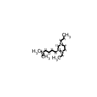 CCCN1CC[N](CC)[Al]([CH2]CCCN(C)C)[CH2]1